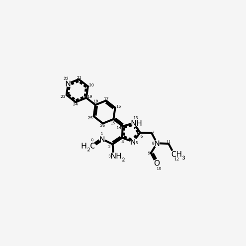 C=N/C(N)=c1/nc(CN(C=O)CC)[nH]/c1=C1\C=CC(c2ccncc2)=CC1